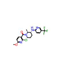 COc1ccc(C(=O)N2CCC[C@@H](Nc3ccc(C(F)(F)F)cn3)[C@@H]2C)c(Cl)n1